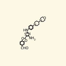 Nc1nc(Nc2ccc(N3CCC(N4CCOCC4)CC3)cc2)sc1C1Oc2ccc(C=O)cc2O1